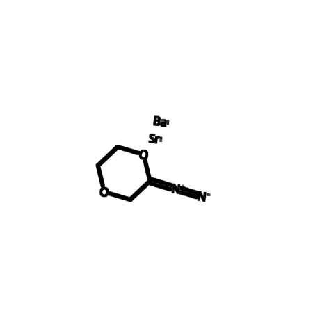 [Ba].[N-]=[N+]=C1COCCO1.[Sr]